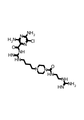 N=C(N)NCCNC(=O)N1CCN(CCCCNC(=N)NC(=O)c2nc(Cl)c(N)nc2N)CC1